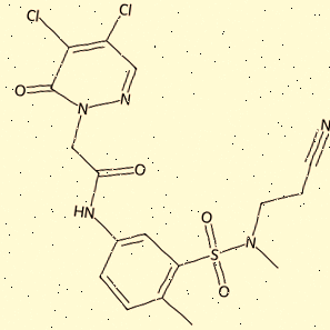 Cc1ccc(NC(=O)Cn2ncc(Cl)c(Cl)c2=O)cc1S(=O)(=O)N(C)CCC#N